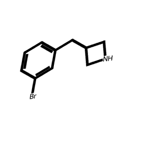 Brc1cccc(CC2CNC2)c1